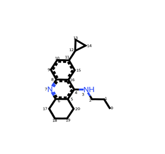 CCCNc1c2c(nc3ccc(C4CC4)cc13)CCCC2